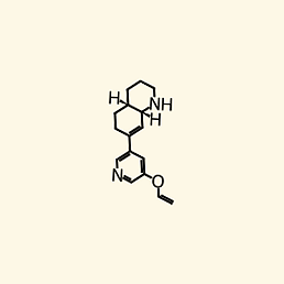 C=COc1cncc(C2=C[C@H]3NCCC[C@H]3CC2)c1